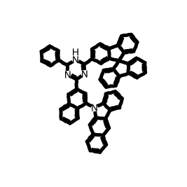 c1ccc(C2N=C(c3cc(-n4c5ccccc5c5cc6ccccc6cc54)c4ccccc4c3)N=C(c3ccc4c(c3)C3(c5ccccc5-c5ccccc53)c3ccccc3-4)N2)cc1